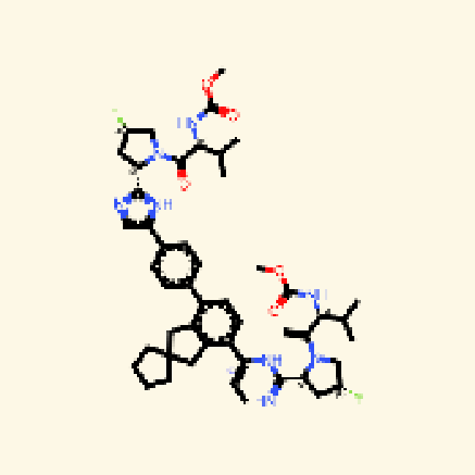 C=C([C@@H](NC(=O)OC)C(C)C)N1C[C@H](F)C[C@H]1C(=N)N/C(=C\C)c1ccc(-c2ccc(-c3cnc([C@@H]4C[C@@H](F)CN4C(=O)[C@@H](NC(=O)OC)C(C)C)[nH]3)cc2)c2c1CC1(CCCC1)C2